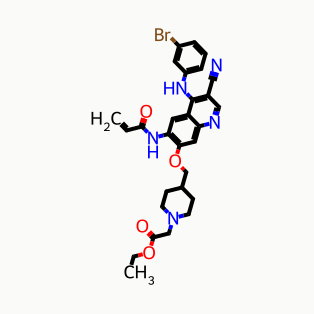 C=CC(=O)Nc1cc2c(Nc3cccc(Br)c3)c(C#N)cnc2cc1OCC1CCN(CC(=O)OCC)CC1